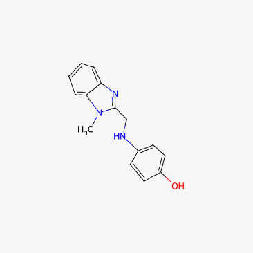 Cn1c(CNc2ccc(O)cc2)nc2ccccc21